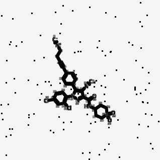 [C-]#[N+]CCC#Cc1ccc(-c2c([N+]#[C-])c(C(=O)NC3CCS(=O)(=O)CC3)nn2-c2ccc(Cl)cc2Cl)cc1